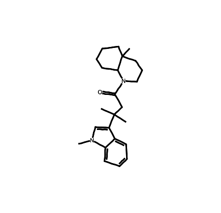 Cn1cc(C(C)(C)CC(=O)N2CCCC3(C)CCCCC23)c2ccccc21